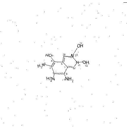 Nc1c(N)c(O)c2c(c1N)=CN(O)N(O)C=2